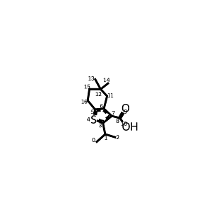 CC(C)c1sc2c(c1C(=O)O)CC(C)(C)CC2